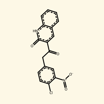 O=C(Cc1ccc(Cl)c([N+](=O)[O-])c1)c1cc2ccccc2[nH]c1=O